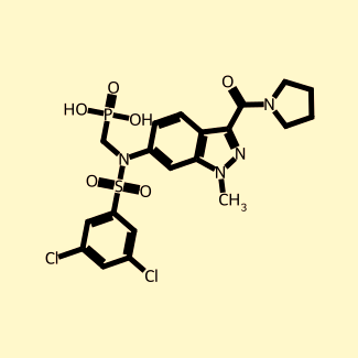 Cn1nc(C(=O)N2CCCC2)c2ccc(N(CP(=O)(O)O)S(=O)(=O)c3cc(Cl)cc(Cl)c3)cc21